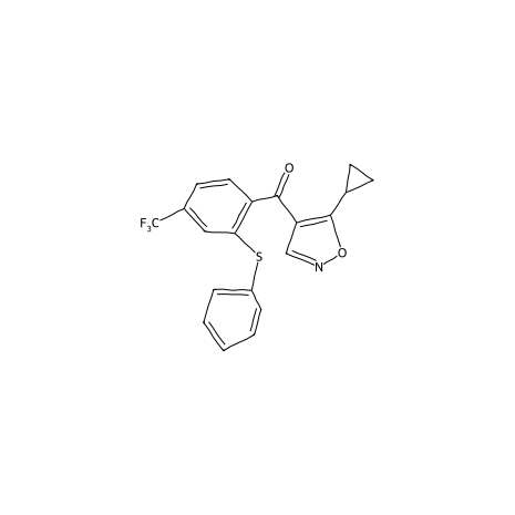 O=C(c1ccc(C(F)(F)F)cc1Sc1ccccc1)c1cnoc1C1CC1